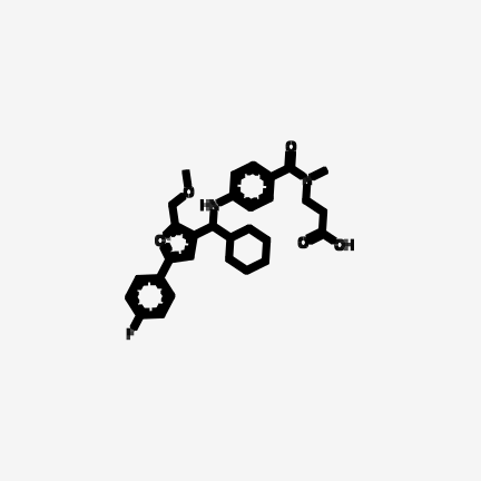 COCc1oc(-c2ccc(F)cc2)cc1C(Nc1ccc(C(=O)N(C)CCC(=O)O)cc1)C1CCCCC1